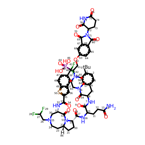 CC(C)(C)c1ccc(CC(NC(=O)C(CCC(N)=O)NC(=O)[C@@H]2CC[C@@H]3CCN(CC(F)F)C[C@H](NC(=O)c4cc5cc(C(F)(F)P(=O)(O)O)ccc5s4)C(=O)N32)C(=O)N2CCN(CCOc3ccc4c(c3)C(=O)N(C3CCC(=O)NC3=O)C4=O)CC2)cc1